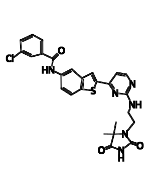 CC1(C)C(=O)NC(=O)N1CCNc1nccc(-c2cc3cc(NC(=O)c4cccc(Cl)c4)ccc3s2)n1